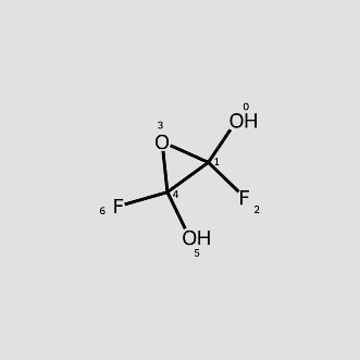 OC1(F)OC1(O)F